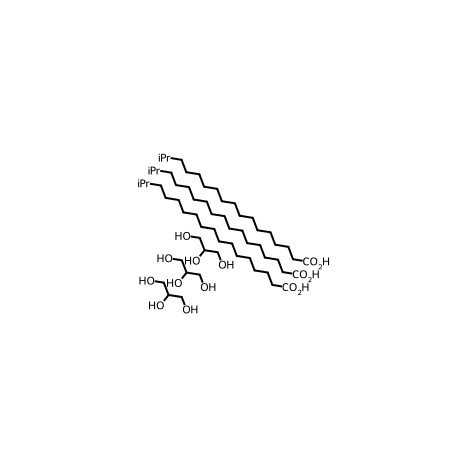 CC(C)CCCCCCCCCCCCCCC(=O)O.CC(C)CCCCCCCCCCCCCCC(=O)O.CC(C)CCCCCCCCCCCCCCC(=O)O.OCC(O)CO.OCC(O)CO.OCC(O)CO